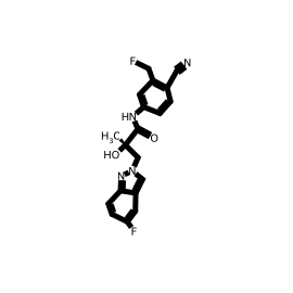 C[C@](O)(Cn1cc2cc(F)ccc2n1)C(=O)Nc1ccc(C#N)c(CF)c1